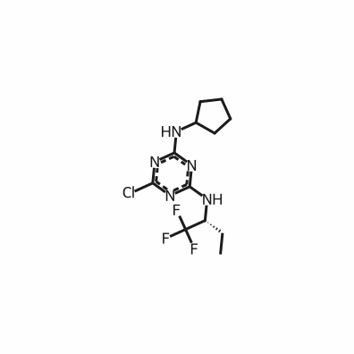 CC[C@@H](Nc1nc(Cl)nc(NC2CCCC2)n1)C(F)(F)F